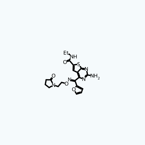 CCNC(=O)c1cc2c(C(=NOCCN3CCCC3=O)c3ccco3)nc(N)nc2s1